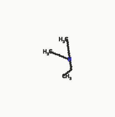 CCCCCCCCC=CCCCCCCCCN(CCCCCCCCC=CCCCCCCCC)CCCCCCCC/C=C\CCCCCCCC